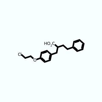 O=C(O)C(CCc1ccccc1)Cc1ccc(OCCCl)cc1